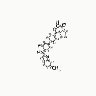 Cc1ccc2oc(Nc3ccc(-c4ccc(C(=O)[C@@H]5CCC[C@H]5C(=O)O)cc4)cc3F)nc2c1